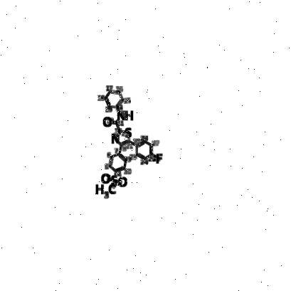 CS(=O)(=O)c1ccc(-c2nc(C(=O)Nc3ccccc3)sc2-c2ccc(F)cc2)cc1